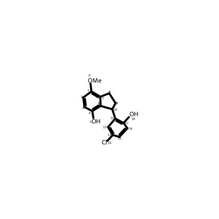 COc1ccc(O)c2c1CCC2c1cc(Cl)ccc1O